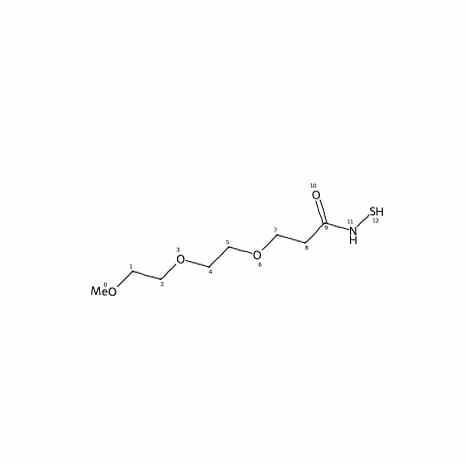 COCCOCCOCCC(=O)NS